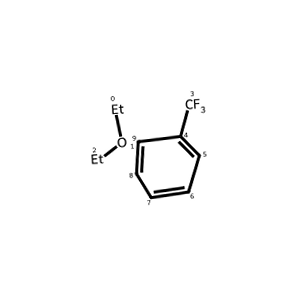 CCOCC.FC(F)(F)c1ccccc1